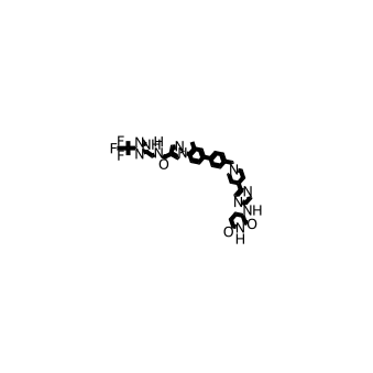 Cc1cc(-c2ccc(CN3CCC(c4cnc(NC5CCC(=O)NC5=O)cn4)CC3)cc2)ccc1-n1cc(C(=O)NCc2nc(C(C)(C)C(F)(F)F)n[nH]2)cn1